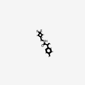 Cc1ccc(C(C)C(=O)NCC2CC(F)(F)C2)cc1